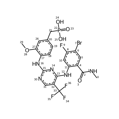 CNC(=O)c1cc(Br)c(F)cc1Nc1nc(Nc2ccc(CP(=O)(O)O)cc2OC)ncc1C(F)(F)F